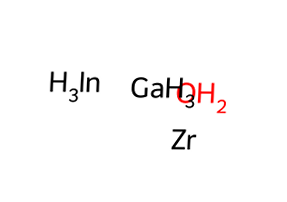 O.[GaH3].[InH3].[Zr]